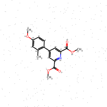 COC(=O)c1cc(-c2ccc(OC)cc2C)cc(C(=O)OC)n1